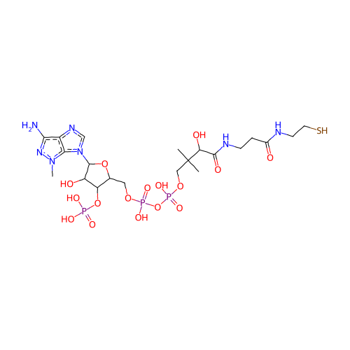 Cn1nc(N)c2ncn(C3OC(COP(=O)(O)OP(=O)(O)OCC(C)(C)C(O)C(=O)NCCC(=O)NCCS)C(OP(=O)(O)O)C3O)c21